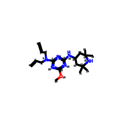 C=CCN(CC=C)c1nc(NC2CC(C)(C)NC(C)(C)C2)nc(OC)n1